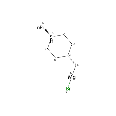 CCC[Si@H]1CC[C@H]([CH2][Mg][Br])CC1